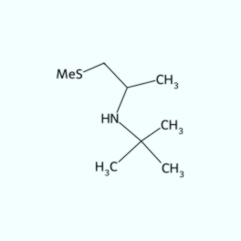 CSCC(C)NC(C)(C)C